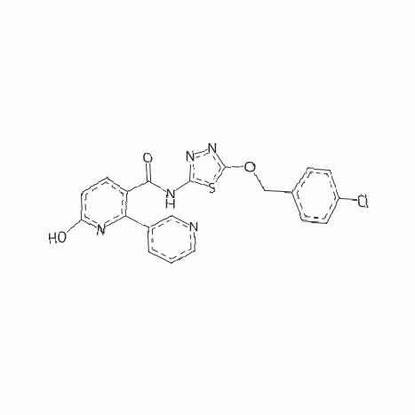 O=C(Nc1nnc(OCc2ccc(Cl)cc2)s1)c1ccc(O)nc1-c1cccnc1